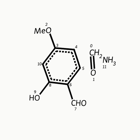 C=O.COc1ccc(C=O)c(O)c1.N